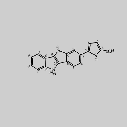 N#Cc1ccc(-c2ccc3c(c2)sc2c4ccccc4[nH]c32)s1